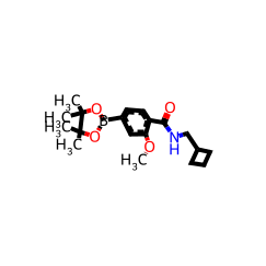 COc1cc(B2OC(C)(C)C(C)(C)O2)ccc1C(=O)NCC1CCC1